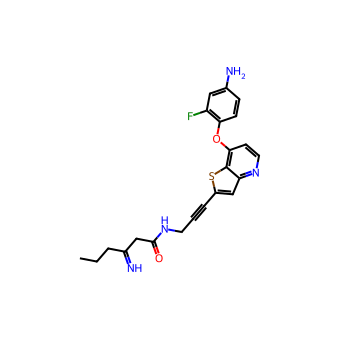 CCCC(=N)CC(=O)NCC#Cc1cc2nccc(Oc3ccc(N)cc3F)c2s1